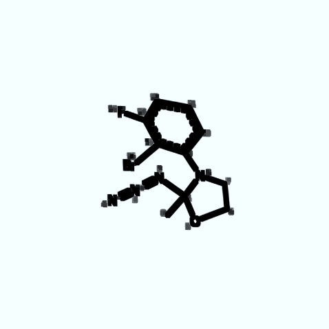 CC1(N=[N+]=[N-])OCCN1c1cccc(F)c1Br